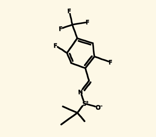 CC(C)(C)[S+]([O-])/N=C/c1cc(F)c(C(F)(F)F)cc1F